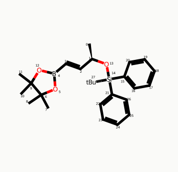 C[C@H](/C=C/B1OC(C)(C)C(C)(C)O1)O[Si](c1ccccc1)(c1ccccc1)C(C)(C)C